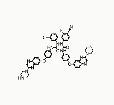 N#Cc1ccc(N(C(=O)Nc2ccc(Oc3ccc4ncc(N5CCNCC5)nc4c3)cc2)N(C(=O)Nc2ccc(Oc3ccc4ncc(N5CCNCC5)nc4c3)cc2)c2cccc(Cl)c2)cc1F